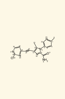 Cc1ccc(-n2c(C(N)=O)nc(C#Cc3ccnc(Cl)n3)c2C)cn1